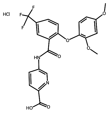 COc1ccc(Oc2ccc(C(F)(F)F)cc2C(=O)Nc2ccc(C(=O)O)nc2)c(OC)c1.Cl